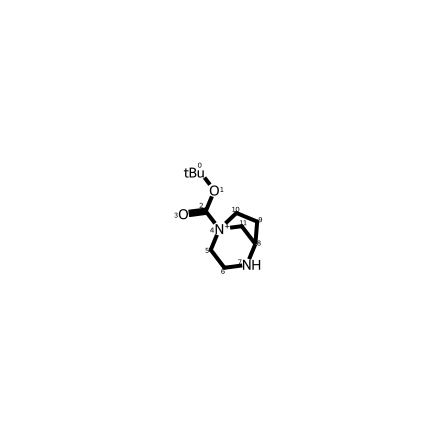 CC(C)(C)OC(=O)[N+]12CCNC(CC1)C2